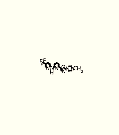 CN1CCN(c2ncc(-c3cccc(Nc4ccc(C(F)(F)F)cn4)n3)o2)CC1